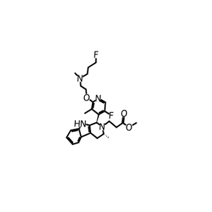 COC(=O)CCN1[C@H](c2c(F)cnc(OCCN(C)CCCF)c2C)c2[nH]c3ccccc3c2C[C@H]1C